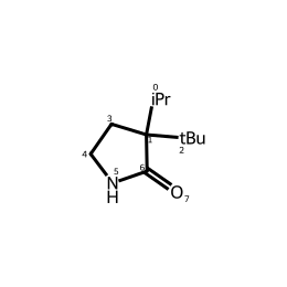 CC(C)C1(C(C)(C)C)CCNC1=O